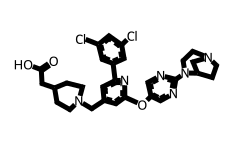 O=C(O)CC1CCN(Cc2cc(Oc3cnc(N4CCN5CCC4C5)nc3)nc(-c3cc(Cl)cc(Cl)c3)c2)CC1